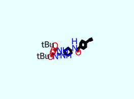 C#Cc1ccc(C(=O)N[C@H]2CC[C@H](N/C(=N/C(=O)OC(C)(C)C)NC(=O)OC(C)(C)C)CC2)cc1